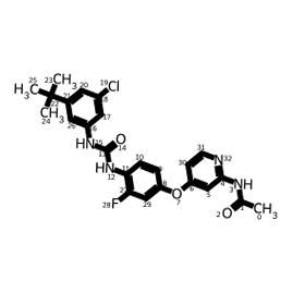 CC(=O)Nc1cc(Oc2ccc(NC(=O)Nc3cc(Cl)cc(C(C)(C)C)c3)c(F)c2)ccn1